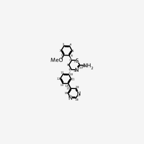 COc1ccccc1[C@@H]1C[C@@H](c2cccc(-c3cncnc3)c2)N=C(N)S1